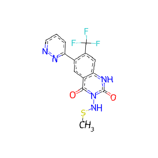 CSNn1c(=O)[nH]c2cc(C(F)(F)F)c(-c3cccnn3)cc2c1=O